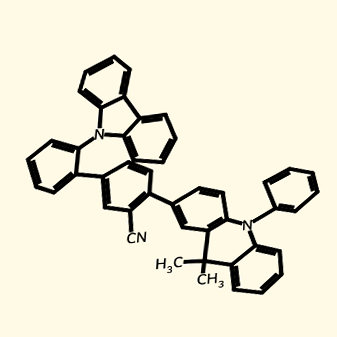 CC1(C)c2ccccc2N(c2ccccc2)c2ccc(-c3ccc(-c4ccccc4-n4c5ccccc5c5ccccc54)cc3C#N)cc21